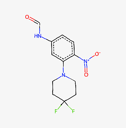 O=CNc1ccc([N+](=O)[O-])c(N2CCC(F)(F)CC2)c1